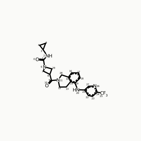 O=C(NC1CC1)N1CC(C(=O)N2CCc3c(cccc3Nc3ccc(C(F)(F)F)nc3)C2)C1